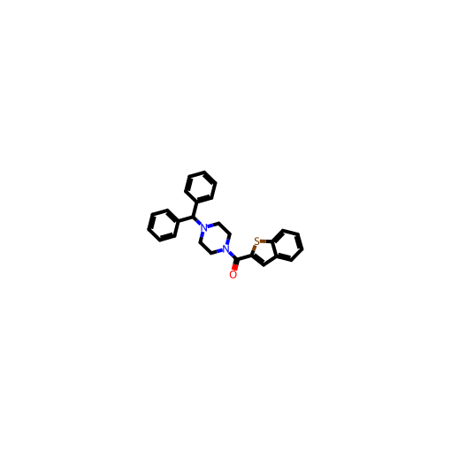 O=C(c1cc2ccccc2s1)N1CCN(C(c2ccccc2)c2ccccc2)CC1